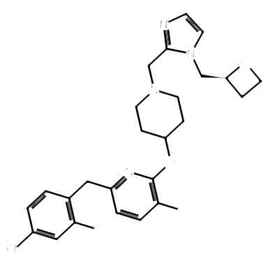 Fc1cc(Cl)ccc1Cc1ccc(F)c(OC2CCN(Cc3nccn3C[C@@H]3CCO3)CC2)n1